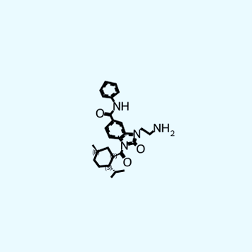 CC(C)[C@@H]1CC[C@@H](C)C[C@H]1C(=O)n1c(=O)n(CCN)c2cc(C(=O)Nc3ccccc3)ccc21